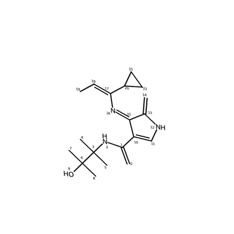 C=C(NC(C)(C)C(C)(C)O)C1=CNC(=C)/C1=N\C(=C/C)C1CC1